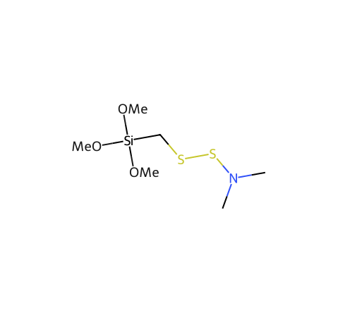 CO[Si](CSSN(C)C)(OC)OC